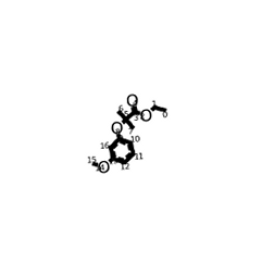 CCOC(=O)C(C)(C)Oc1cccc(OC)c1